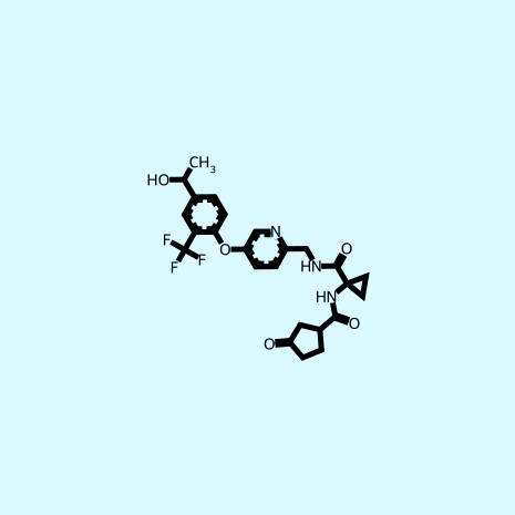 CC(O)c1ccc(Oc2ccc(CNC(=O)C3(NC(=O)C4CCC(=O)C4)CC3)nc2)c(C(F)(F)F)c1